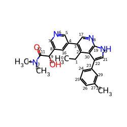 CCc1c(-c2cncc(C(O)C(=O)N(C)C)c2)cnc2[nH]cc(-c3cccc(C)c3)c12